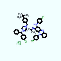 CC(C)(C)c1ccc(CN2CCN(C(c3ccccc3)c3ccc(Cl)cc3)CC2)cc1.CC(C)/N=c1\cc2n(-c3ccc(Cl)cc3)c3ccccc3nc-2cc1Nc1ccc(Cl)cc1.Cl.Cl